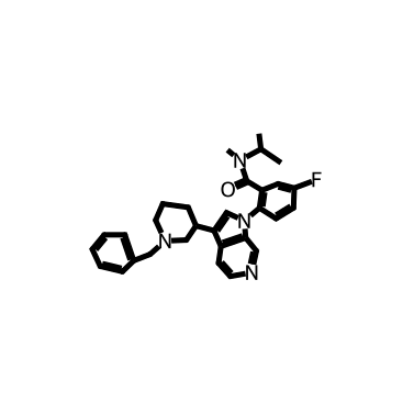 CC(C)N(C)C(=O)c1cc(F)ccc1-n1cc(C2CCCN(Cc3ccccc3)C2)c2ccncc21